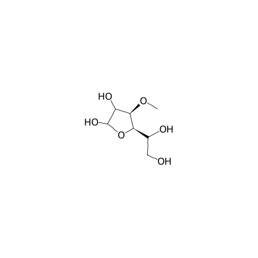 CO[C@@H]1C(O)C(O)O[C@@H]1C(O)CO